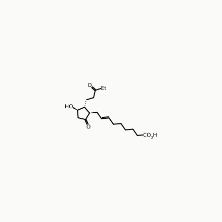 CCC(=O)CC[C@H]1[C@H](O)CC(=O)[C@@H]1CC=CCCCCCC(=O)O